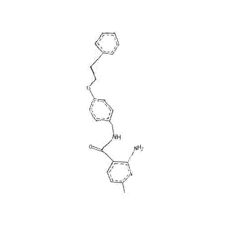 Cc1ccc(C(=O)Nc2ccc(OCCc3ccccc3)cc2)c(N)n1